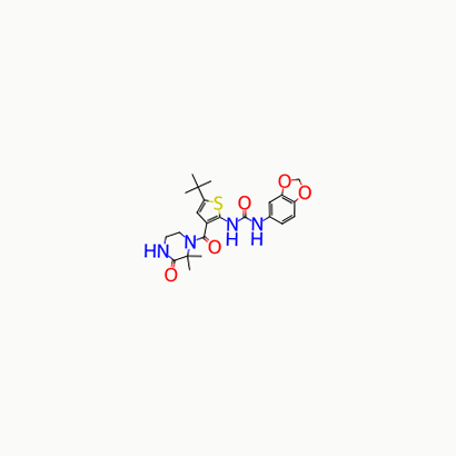 CC(C)(C)c1cc(C(=O)N2CCNC(=O)C2(C)C)c(NC(=O)Nc2ccc3c(c2)OCO3)s1